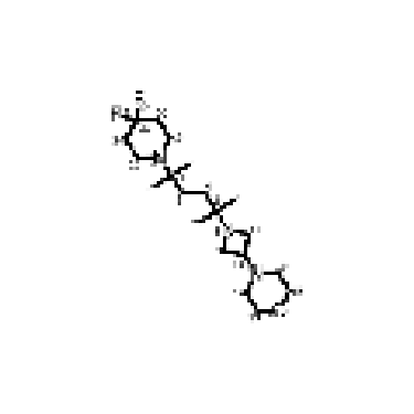 CC(C)(CCC(C)(C)N1CC(N2CCOCC2)C1)N1CCC(F)(F)CC1